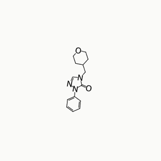 O=c1n(CC2CCOCC2)cnn1-c1ccccc1